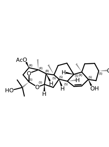 CC(=O)O[C@@H]1C[C@]2(C(C)(C)O)O[C@H]3C[C@H]4[C@@H]5C=C[C@@]6(O)C[C@@H](O)CC[C@]6(C)[C@H]5CC[C@]4(C)[C@H]3[C@@]1(C)O2